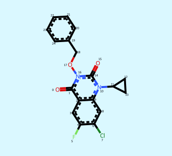 O=c1c2cc(F)c(Cl)cc2n(C2CC2)c(=O)n1OCc1ccccc1